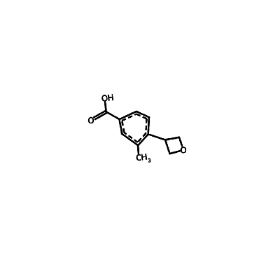 Cc1cc(C(=O)O)ccc1C1COC1